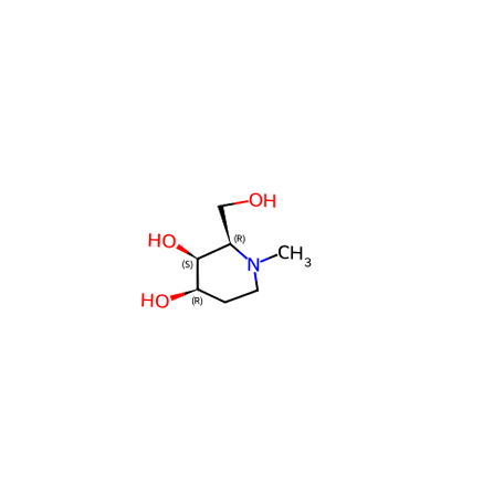 CN1CC[C@@H](O)[C@@H](O)[C@H]1CO